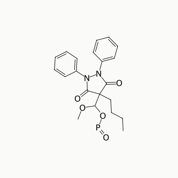 CCCCC1(C(OC)OP=O)C(=O)N(c2ccccc2)N(c2ccccc2)C1=O